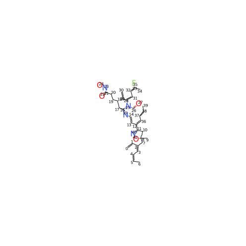 C=C/C(=C\C=C/C)CC1(C)CC(C(/C=C/N=C(/CCCCC(=O)N=O)N(C=O)/C(C=C)=C/C=C(\C)F)=C/C=C/C)=NO1